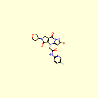 O=C(Cn1c2c(c(=O)n3nc(Br)cc13)CN(C1CCOC1)C2=O)Nc1ccc(F)cn1